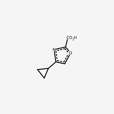 O=C(O)c1nc(C2CC2)co1